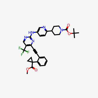 COC(=O)C1(c2ccccc2C#Cc2nc(Nc3ccc(C4CCN(C(=O)OC(C)(C)C)CC4)nc3)ncc2C(F)(F)F)CC1